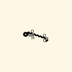 O=C(NCCCCCCC(=O)c1ncco1)c1cc2ccccc2[nH]1